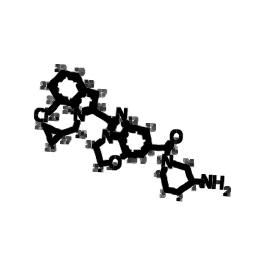 NC1CCCN(C(=O)c2cc3c4c(c2)nc(-c2cc5cccc(Cl)c5n2CC2CC2)n4CCO3)C1